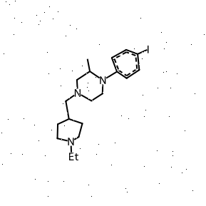 CCN1CCC(CN2CCN(c3ccc(I)cc3)C(C)C2)CC1